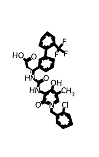 Cc1cn(Cc2ccccc2Cl)c(=O)c(NC(=O)N[C@@H](CC(=O)O)c2cccc(-c3ccccc3C(F)(F)F)c2)c1O